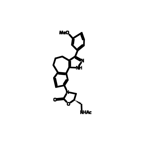 COc1cccc(-c2n[nH]c3c2CCCc2ccc(N4C[C@H](CNC(C)=O)OC4=O)cc2-3)c1